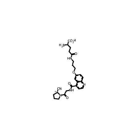 BC(CCC(=O)NCCCOc1ccc2nccc(C(=O)NCC(=O)N3CCC[C@H]3C#N)c2c1)C(=O)O